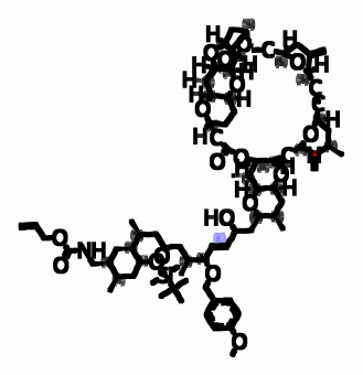 C=CCOC(=O)NC[C@H]1C[C@@H]([C@@H](C)CC(=O)C[C@H](C)[C@@H](/C=C/C(O)C[C@H]2O[C@H]3[C@H](C)[C@H]4OC(=O)C[C@H]5CC[C@@H]6O[C@@H]7[C@H]8O[C@@H]9C[C@](CC[C@H]%10CC(=C)[C@H](CC[C@H]%11C[C@@H](C)C(=C)[C@@H](C[C@@H]4O[C@H]3C[C@H]2C)O%11)O%10)(O[C@H]8[C@H]6O5)O[C@H]79)OCc2ccc(OC)cc2)[C@@H](O[Si](C)(C)C(C)(C)C)C[C@H]1C